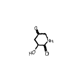 O=C1CNC(=O)C(O)C1